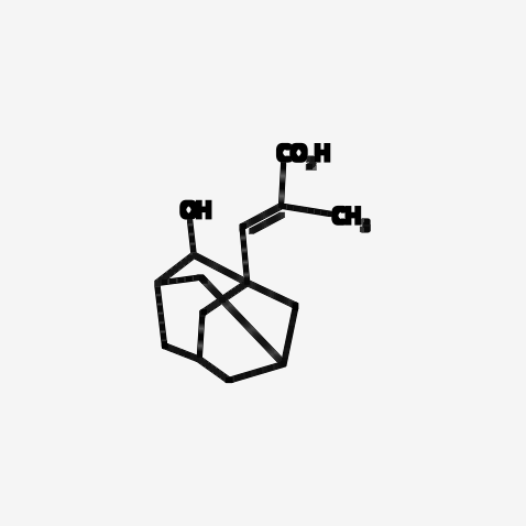 CC(=CC12CC3CC(CC(C3)C1O)C2)C(=O)O